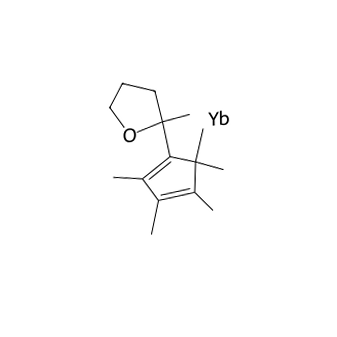 CC1=C(C)C(C)(C)C(C2(C)CCCO2)=C1C.[Yb]